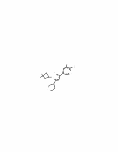 Nc1ncc(-c2cc(C3CCOC3)n(C3CC(F)(F)C3)n2)cc1Cl